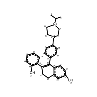 CC(C)N1CCN(c2ccc(C3=C(c4ccccc4O)CCc4cc(O)ccc43)cc2)CC1